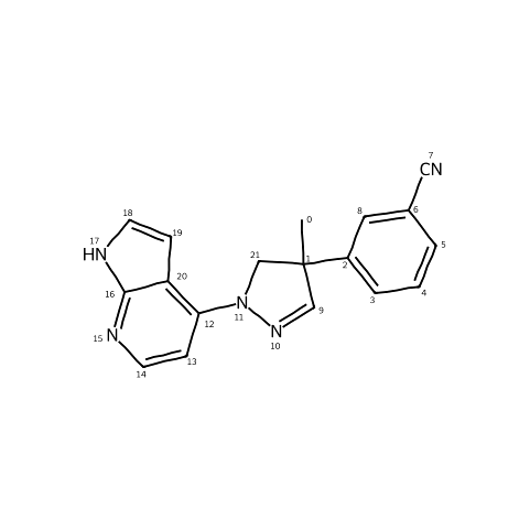 CC1(c2cccc(C#N)c2)C=NN(c2ccnc3[nH]ccc23)C1